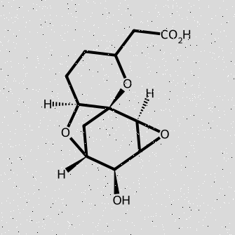 O=C(O)CC1CC[C@@H]2O[C@@H]3C[C@@]2(O1)[C@H]1OC1[C@H]3O